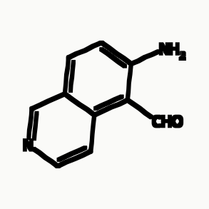 Nc1ccc2cnccc2c1C=O